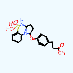 O=C(O)CCc1ccc(OC2CCC3NS(O)(O)c4ccccc4N32)cc1